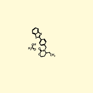 CCC1CCOC(=O)N1Cc1ccc(-c2nc3ccccc3s2)cc1.O=[PH2]O